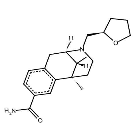 C[C@H]1[C@H]2Cc3ccc(C(N)=O)cc3[C@]1(C)CCN2C[C@H]1CCCO1